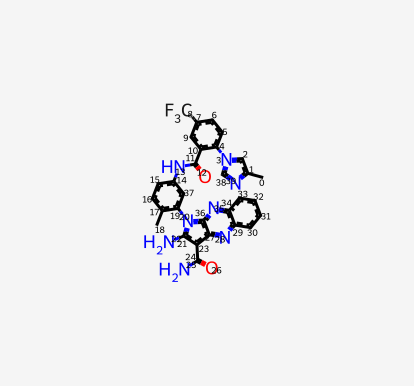 Cc1cn(-c2ccc(C(F)(F)F)cc2C(=O)Nc2ccc(C)c(-n3c(N)c(C(N)=O)c4nc5ccccc5nc43)c2)cn1